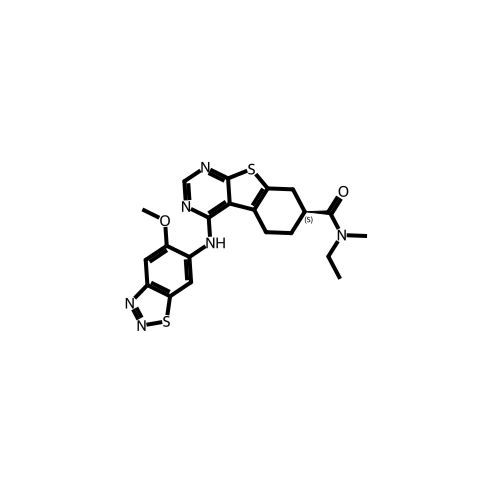 CCN(C)C(=O)[C@H]1CCc2c(sc3ncnc(Nc4cc5snnc5cc4OC)c23)C1